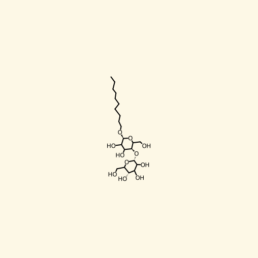 CCCCCCCCCCO[C@H]1OC(CO)[C@@H](O[C@H]2OC(CO)[C@@H](O)C(O)C2O)C(O)C1O